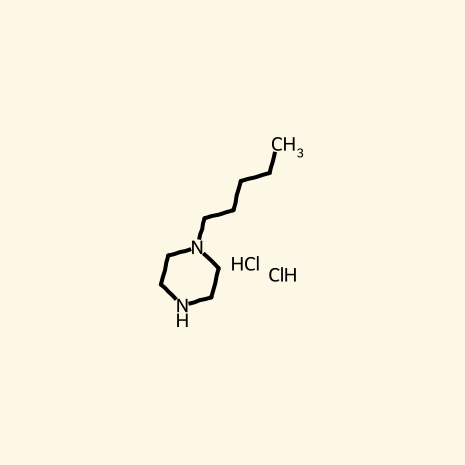 CCCCCN1CCNCC1.Cl.Cl